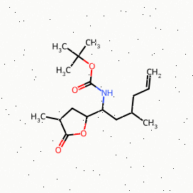 C=CCC(C)CC(NC(=O)OC(C)(C)C)C1CC(C)C(=O)O1